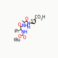 CC(NC(=O)C(NC(=O)OC(C)(C)C)C(C)C)C(=O)Nc1ccc(C(=O)O)s1